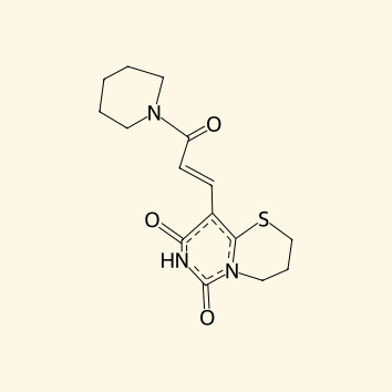 O=C(/C=C/c1c2n(c(=O)[nH]c1=O)CCCS2)N1CCCCC1